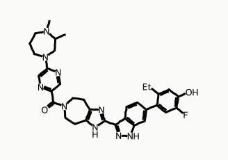 CCc1cc(O)c(F)cc1-c1ccc2c(-c3nc4c([nH]3)CCN(C(=O)c3cnc(N5CCCN(C)C(C)C5)cn3)CC4)n[nH]c2c1